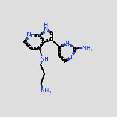 NCCCNc1ccnc2[nH]cc(-c3ccnc(N)n3)c12